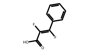 O=C(O)C(F)=C(F)c1ccccc1